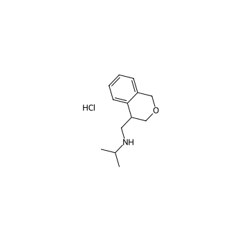 CC(C)NCC1COCc2ccccc21.Cl